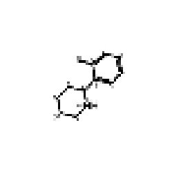 Cc1ccccc1C1CCCCN1